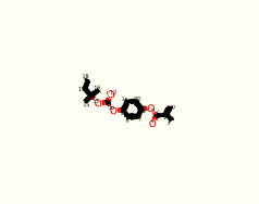 C=C(C)C(=O)Oc1ccc(OC(=O)OC(C)(C)CC)cc1